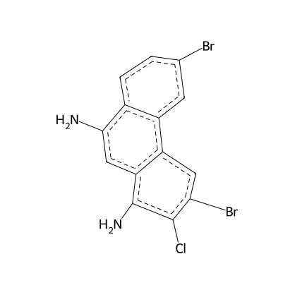 Nc1cc2c(N)c(Cl)c(Br)cc2c2cc(Br)ccc12